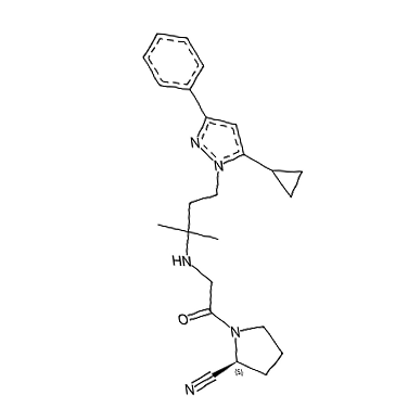 CC(C)(CCn1nc(-c2ccccc2)cc1C1CC1)NCC(=O)N1CCC[C@H]1C#N